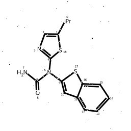 CC(C)c1cnc(N(C(N)=O)c2cc3ccccc3s2)s1